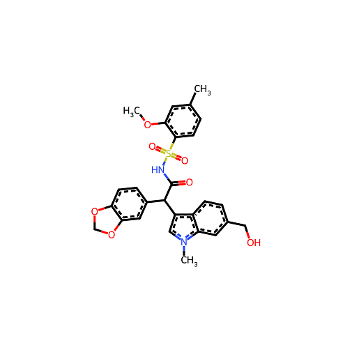 COc1cc(C)ccc1S(=O)(=O)NC(=O)C(c1ccc2c(c1)OCO2)c1cn(C)c2cc(CO)ccc12